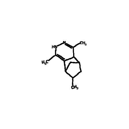 CC1=NNC(C)=C2C3CC(CC3C)C12